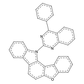 c1ccc(-c2nc(-n3c4ccccc4c4ccc5oc6ccccc6c5c43)nc3ccccc23)cc1